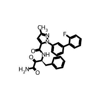 Cc1cc(C(=O)N[C@@H](Cc2ccccc2)C(=O)C(N)=O)n(-c2cccc(-c3ccccc3F)c2)n1